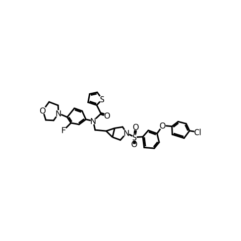 O=C(c1cccs1)N(CC1C2CN(S(=O)(=O)c3cccc(Oc4ccc(Cl)cc4)c3)CC12)c1ccc(N2CCOCC2)c(F)c1